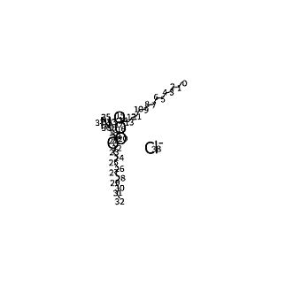 CCCCCCCCCCCCCCC(=O)OC(CC(=O)OCCCCCCCCCCC)C[N+](C)(C)C.[Cl-]